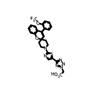 O=C(O)Cn1nnc(-c2cnc(N3CCC4(C=C(c5ccccc5OC(F)(F)F)c5ccccc5O4)CC3)s2)n1